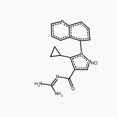 Cl.NC(N)=NC(=O)c1cnn(-c2cccc3ncccc23)c1C1CC1